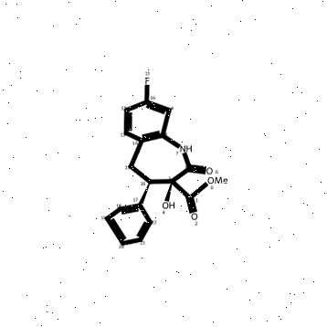 COC(=O)[C@@]1(O)C(=O)Nc2cc(F)ccc2C[C@@H]1c1ccccc1